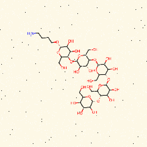 NCCCCO[C@H]1OC(CO)[C@H](O[C@H]2OC(CO)[C@@H](O[C@@H]3OC(CO)[C@@H](O[C@@H]4OC(CO)[C@@H](O[C@H]5OC(CO)[C@H](O)[C@H](O)C5O)C(O)[C@@H]4O)C(O)[C@@H]3O)[C@H](O)C2O)[C@H](O)C1O